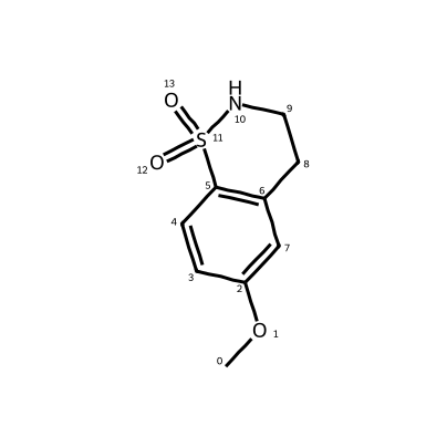 COc1ccc2c(c1)CCNS2(=O)=O